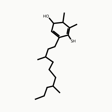 CCCC(C)CCCC(C)CCC1=CC(O)C(C)C(C)=C1S